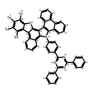 [2H]c1c([2H])c([2H])c2c(sc3c2c2ccccc2c2c3c3c4ccccc4c4ccccc4c3n2-c2ccc(-c3nc(-c4ccccc4)nc(-c4ccccc4)n3)cc2)c1[2H]